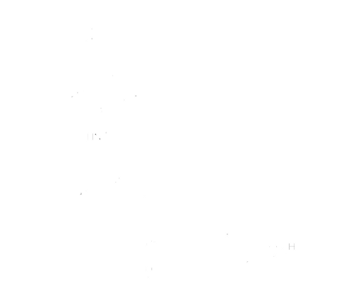 C[C@H](OC(=O)CNC(=O)OC(C)(C)O)C(=O)CCCCC(=O)O